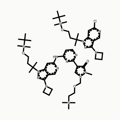 CC(C)(CCO[Si](C)(C)C(C)(C)C)n1nc(N2CCC2)c2cnc(Cl)cc21.Cn1c(=O)c(-c2nccc(Nc3cc4c(cn3)c(N3CCC3)nn4C(C)(C)CCO[Si](C)(C)C(C)(C)C)n2)cn1COCC[Si](C)(C)C